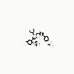 CN(C(=O)O)c1ccc(-c2cnc(Cn3c(C4CCOCC4)nc(-c4cc(Cl)ccc4-n4cnnn4)cc3=O)[nH]2)cc1